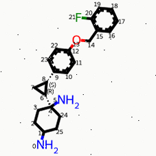 NC1CCC(N)([C@@H]2C[C@@H]2c2ccc(OCc3ccccc3F)cc2)CC1